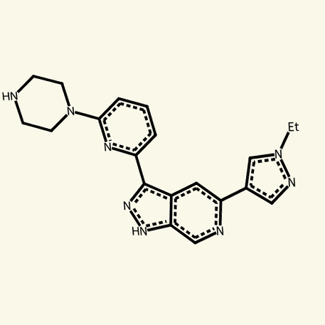 CCn1cc(-c2cc3c(-c4cccc(N5CCNCC5)n4)n[nH]c3cn2)cn1